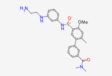 COc1cc(C)c(-c2cccc(C(=O)N(C)C)c2)cc1[S+]([O-])Nc1cccc(NCCN)c1